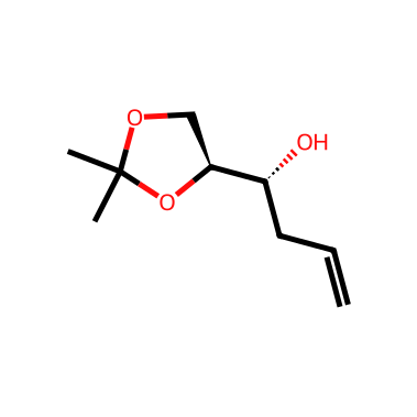 C=CC[C@@H](O)[C@@H]1COC(C)(C)O1